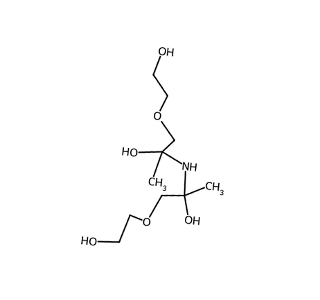 CC(O)(COCCO)NC(C)(O)COCCO